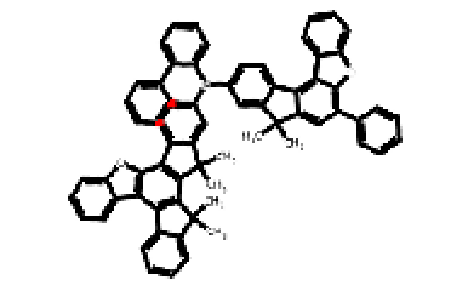 CC1(C)c2cc(N(c3ccc4c(c3)C(C)(C)c3c5c(c6c(oc7ccccc76)c3-4)-c3ccccc3C5(C)C)c3ccccc3-c3ccccc3)ccc2-c2c1cc(-c1ccccc1)c1oc3ccccc3c21